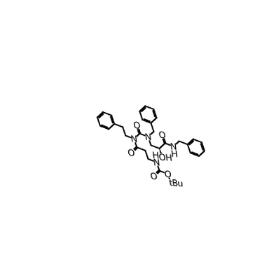 CC(C)(C)OC(=O)NCCC(=O)N(CCc1ccccc1)C(=O)N(Cc1ccccc1)C[C@H](O)C(=O)NCc1ccccc1